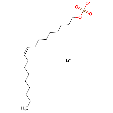 CCCCCCCC/C=C\CCCCCCCCOS(=O)(=O)[O-].[Li+]